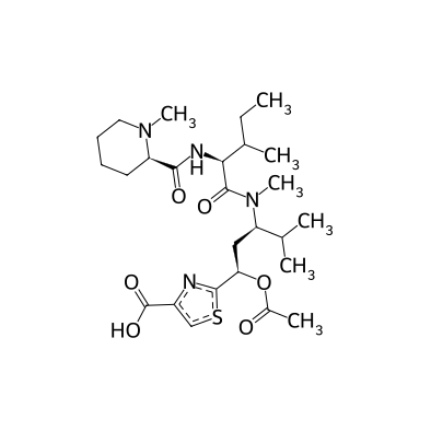 CCC(C)[C@H](NC(=O)[C@H]1CCCCN1C)C(=O)N(C)[C@H](C[C@@H](OC(C)=O)c1nc(C(=O)O)cs1)C(C)C